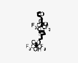 O=C(OCCc1ccc(OC(C(=O)OCc2ccco2)(C(F)(F)F)C(F)(F)F)s1)C(O)(C(F)(F)F)C(F)(F)F